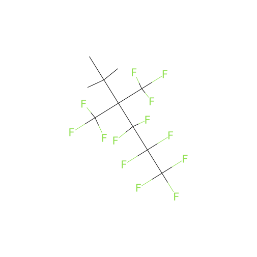 CC(C)(C)C(C(F)(F)F)(C(F)(F)F)C(F)(F)C(F)(F)C(F)(F)F